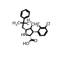 CC1[C@H](CC(C)(C)c2ccccc2)N[C@@H](C(=O)O)[C@@H]1c1cccc(Cl)c1F